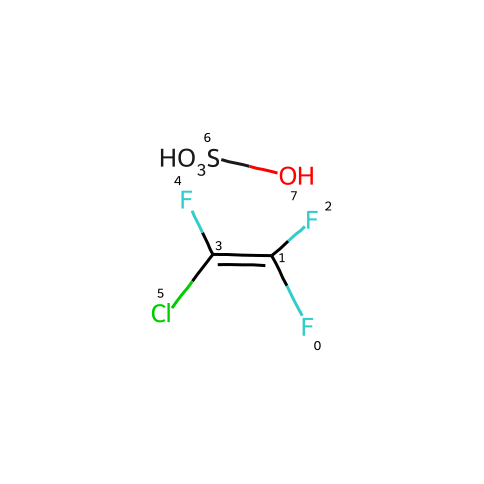 FC(F)=C(F)Cl.O=S(=O)(O)O